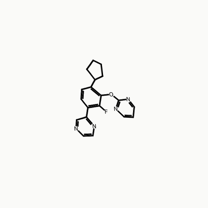 Fc1c(-c2cnccn2)ccc(C2CCCC2)c1Oc1ncccn1